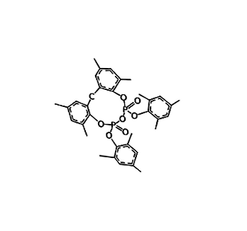 Cc1cc(C)c(OP2(=O)Oc3c(C)cc(C)cc3Cc3cc(C)cc(C)c3OP(=O)(Oc3c(C)cc(C)cc3C)O2)c(C)c1